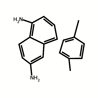 Cc1ccc(C)cc1.Nc1ccc2c(N)cccc2c1